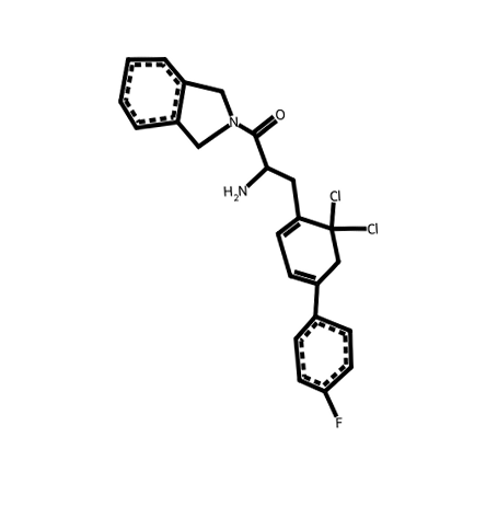 NC(CC1=CC=C(c2ccc(F)cc2)CC1(Cl)Cl)C(=O)N1Cc2ccccc2C1